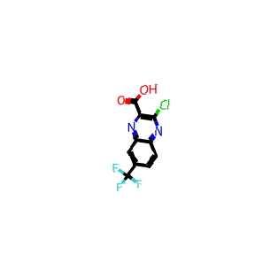 O=C(O)c1nc2cc(C(F)(F)F)ccc2nc1Cl